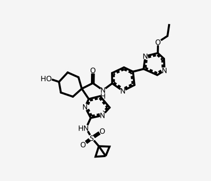 CCOc1cncc(-c2ccc(NC(=O)C3(c4ccnc(NS(=O)(=O)C56CC5C6)n4)CCC(O)CC3)nc2)n1